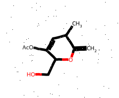 C=C1OC(CO)C(OC(C)=O)=CC1C